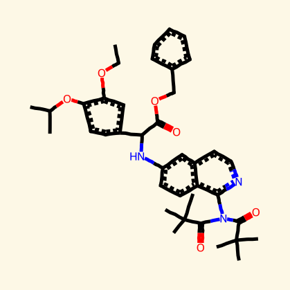 CCOc1cc(C(Nc2ccc3c(N(C(=O)C(C)(C)C)C(=O)C(C)(C)C)nccc3c2)C(=O)OCc2ccccc2)ccc1OC(C)C